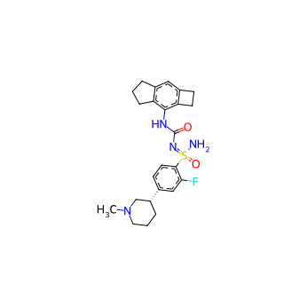 CN1CCC[C@@H](c2ccc([S@](N)(=O)=NC(=O)Nc3c4c(cc5c3CC5)CCC4)c(F)c2)C1